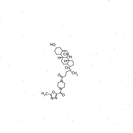 Cc1nnc(C(=O)N2CCN(C(=O)CCC(C)[C@H]3CC[C@H]4[C@@H]5CC=C6C[C@@H](O)CC[C@]6(C)[C@H]5CC[C@]34C)CC2)o1